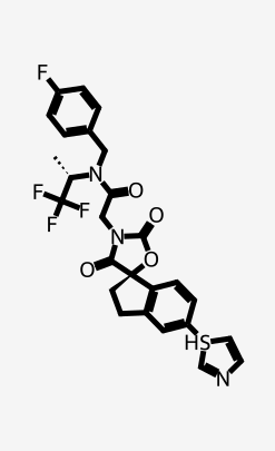 C[C@H](N(Cc1ccc(F)cc1)C(=O)CN1C(=O)O[C@@]2(CCc3cc([SH]4C=CN=C4)ccc32)C1=O)C(F)(F)F